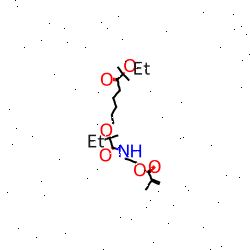 C=C(C)C(=O)OCCNC(=O)C(C)(CC)OCCCCCC(=O)C(C)(C)OCC